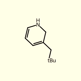 CC(C)(C)CC1=CC=CNC1